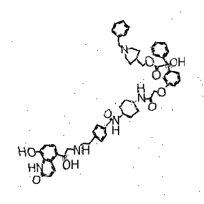 O=C(COc1cccc([C@](O)(C(=O)OCC2CCN(Cc3ccccc3)CC2)c2ccccc2)c1)N[C@H]1CC[C@H](NC(=O)c2ccc(CCNC[C@H](O)c3ccc(O)c4[nH]c(=O)ccc34)cc2)CC1